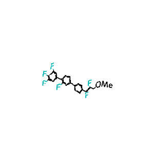 COC/C(F)=C(\F)c1ccc(-c2ccc(-c3cc(F)c(F)c(F)c3)c(F)c2)cc1